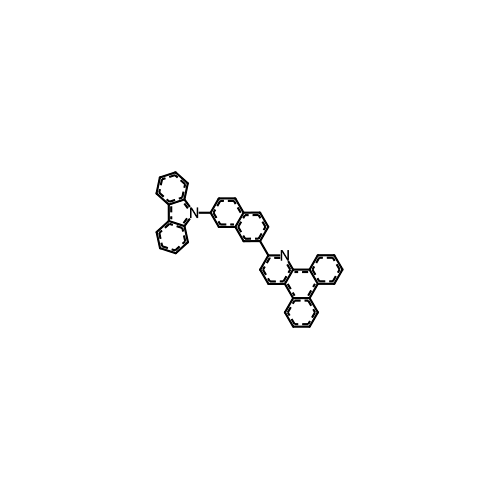 c1ccc2c(c1)c1ccccc1c1nc(-c3ccc4ccc(-n5c6ccccc6c6ccccc65)cc4c3)ccc21